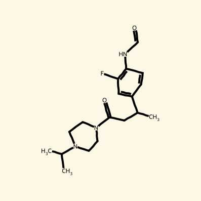 CC(CC(=O)N1CCN(C(C)C)CC1)c1ccc(NC=O)c(F)c1